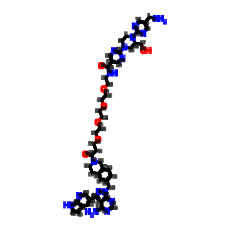 NCc1cnc(N2CCN(c3ncc(C(=O)NCCOCCOCCOCCOCCC(=O)N4CCc5cc(Cn6nc(-c7cnc8[nH]ccc8c7)c7c(N)ncnc76)ccc5C4)cn3)CC2CO)nc1